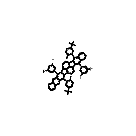 Cc1ccc(C(C)(C)C)cc1-c1c2c(c(-c3cc(F)cc(F)c3)c3ccccc13)-c1ccc3c4c(ccc-2c14)-c1c-3c(-c2cc(C(C)(C)C)ccc2C)c2cc3ccccc3cc2c1-c1cc(F)cc(F)c1